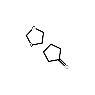 C1COCO1.O=C1CCCC1